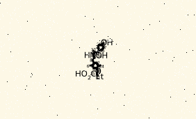 CCC(Oc1cc(C)c(CCN[C@@H](C)[C@@H](O)c2ccc(O)cc2)cc1C)C(=O)O